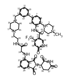 CN1CCN(c2ccc(-c3cccc(CN4CCN(CCNC(=O)CNc5cccc6c5C(=O)N(C5CCC(=O)NC5=O)C6=O)CC4)c3)cc2NC(=O)c2c[nH]c(=O)cc2C(F)(F)F)CC1